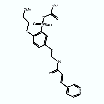 CNC(=O)NS(=O)(=O)c1cc(CCNC(=O)/C=C/c2ccccc2)ccc1OCCOC